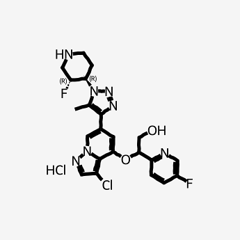 Cc1c(-c2cc(OC(CO)c3ccc(F)cn3)c3c(Cl)cnn3c2)nnn1[C@@H]1CCNC[C@H]1F.Cl